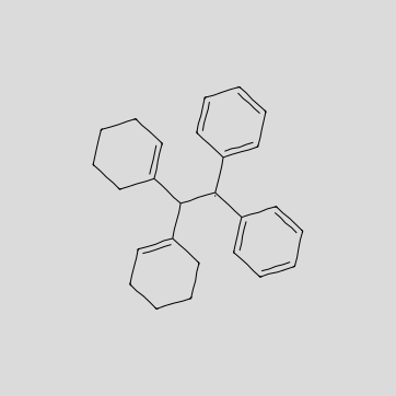 C1=C(C([C](c2ccccc2)c2ccccc2)C2=CCCCC2)CCCC1